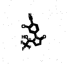 N#Cc1ccc(N2C(=O)CCC2[C@@H](O)C(F)(F)F)cc1Cl